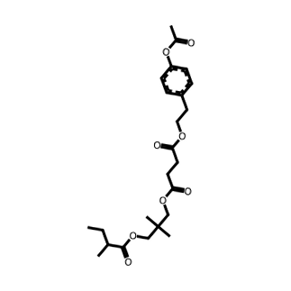 CCC(C)C(=O)OCC(C)(C)COC(=O)CCC(=O)OCCc1ccc(OC(C)=O)cc1